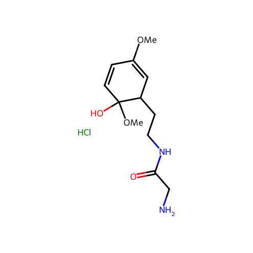 COC1=CC(CCNC(=O)CN)C(O)(OC)C=C1.Cl